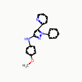 COc1ccc(Nc2cc(-c3ccccn3)n(-c3ccccc3)n2)cc1